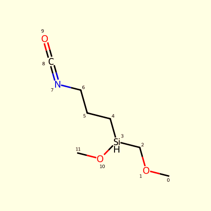 COC[SiH](CCCN=C=O)OC